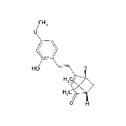 COc1ccc(/C=C/C2=CC(=O)[C@H]3C[C@@H]2C3(C)C)c(O)c1